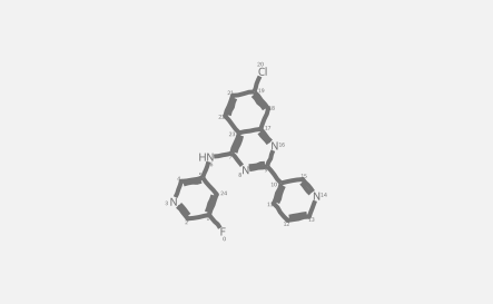 Fc1cncc(Nc2nc(-c3cccnc3)nc3cc(Cl)ccc23)c1